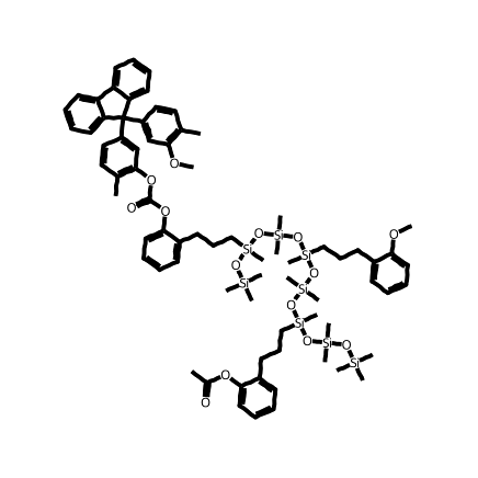 COc1cc(C2(c3ccc(C)c(OC(=O)Oc4ccccc4CCC[Si](C)(O[Si](C)(C)C)O[Si](C)(C)O[Si](C)(CCCc4ccccc4OC)O[Si](C)(C)O[Si](C)(CCCc4ccccc4OC(C)=O)O[Si](C)(C)O[Si](C)(C)C)c3)c3ccccc3-c3ccccc32)ccc1C